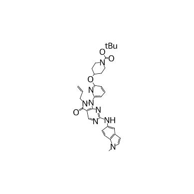 C=CCn1c(=O)c2cnc(Nc3ccc4c(ccn4C)c3)nc2n1-c1cccc(OC2CCN(C(=O)OC(C)(C)C)CC2)n1